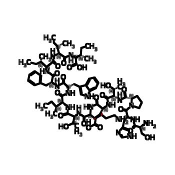 CC[C@H](C)[C@H](NC(=O)[C@@H](NC(=O)[C@@H](NC(=O)[C@H](Cc1ccccc1)NC(=O)[C@H](Cc1c[nH]c2ccccc12)NC(=O)[C@@H](NC(=O)[C@@H](NC(=O)[C@H](CCCCN)NC(=O)[C@H](CCC(=O)O)NC(=O)[C@@H](NC(=O)[C@@H]1CCCN1C(=O)[C@H](Cc1c[nH]cn1)NC(=O)[C@@H](N)CO)[C@@H](C)O)[C@@H](C)O)[C@@H](C)CC)[C@@H](C)CC)[C@@H](C)CC)C(=O)O